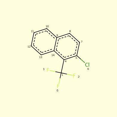 FC(F)(F)c1c(Cl)ccc2ccccc12